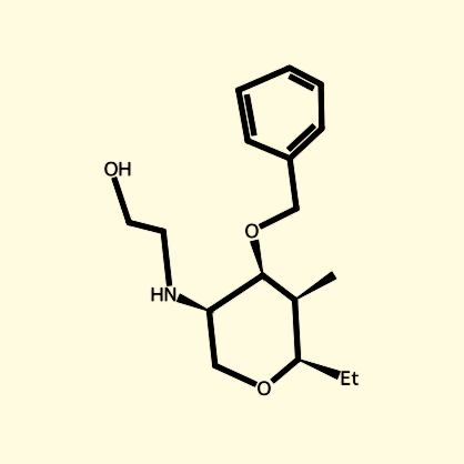 CC[C@H]1OC[C@@H](NCCO)[C@@H](OCc2ccccc2)[C@H]1C